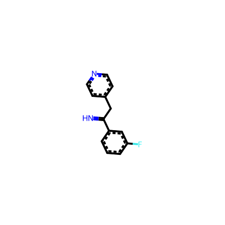 N=C(Cc1ccncc1)c1cccc(F)c1